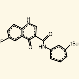 CC(C)(C)c1cccc(NC(=O)c2c[nH]c3ccc(F)cc3c2=O)c1